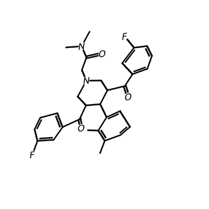 Cc1cccc(C2C(C(=O)c3cccc(F)c3)CN(CC(=O)N(C)C)CC2C(=O)c2cccc(F)c2)c1C